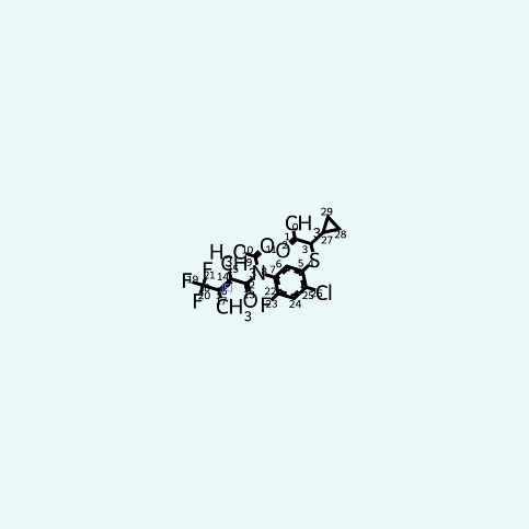 CC(=O)C(Sc1cc(N(C(C)=O)C(=O)/C(C)=C(\C)C(F)(F)F)c(F)cc1Cl)C1CC1